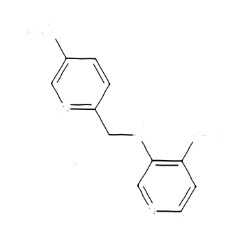 Cl.O=Cc1ccncc1OCc1ccc(C(=O)O)cn1